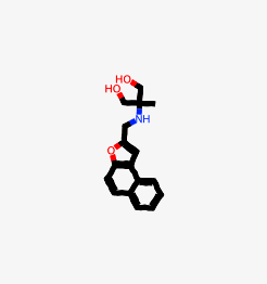 CC(CO)(CO)NCc1cc2c(ccc3ccccc32)o1